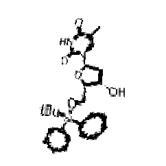 Cc1cn([C@H]2C[C@H](O)[C@@H](CO[Si](c3ccccc3)(c3ccccc3)C(C)(C)C)O2)c(=O)[nH]c1=O